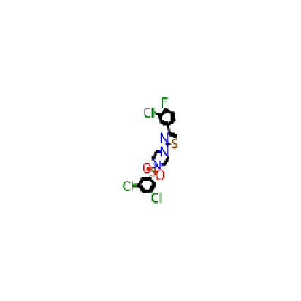 O=S(=O)(c1cc(Cl)cc(Cl)c1)N1CCN(c2nc(-c3ccc(F)c(Cl)c3)cs2)CC1